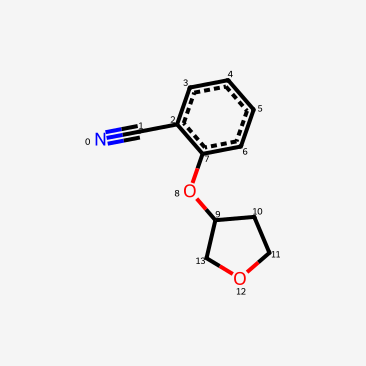 N#Cc1ccccc1OC1CCOC1